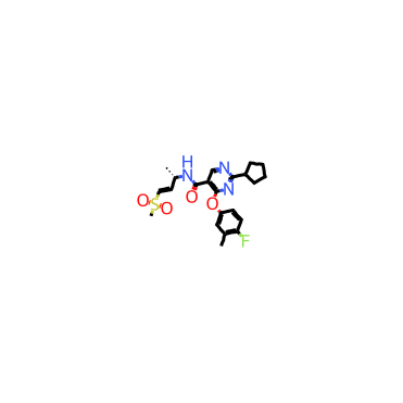 Cc1cc(Oc2nc(C3CCCC3)ncc2C(=O)N[C@@H](C)/C=C/S(C)(=O)=O)ccc1F